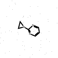 c1cnc(N2CC2)nc1